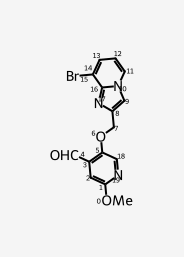 COc1cc(C=O)c(OCc2cn3cccc(Br)c3n2)cn1